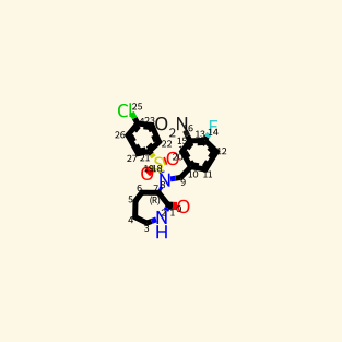 O=C1NCCCC[C@H]1N(Cc1ccc(F)c([N+](=O)[O-])c1)S(=O)(=O)c1ccc(Cl)cc1